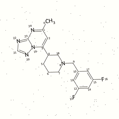 Cc1cc(C2CCCN(Cc3cc(F)cc(F)c3)C2)n2ncnc2n1